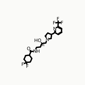 O=C(NCC[C@@H](O)CN1CCC(c2cccc(C(F)(F)F)n2)C1)C1CCC(F)(F)CC1